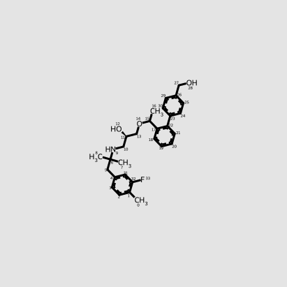 Cc1ccc(CC(C)(C)NC[C@@H](O)COC(C)c2ccccc2-c2ccc(CO)cc2)cc1F